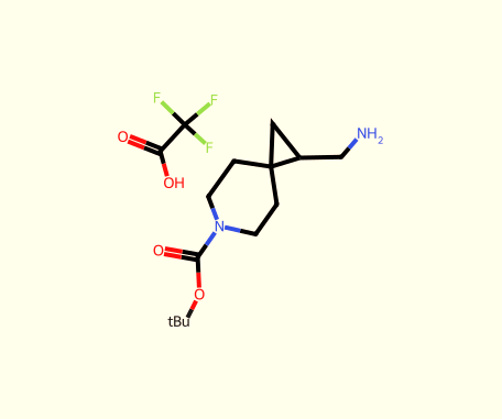 CC(C)(C)OC(=O)N1CCC2(CC1)CC2CN.O=C(O)C(F)(F)F